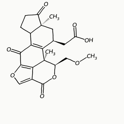 COC[C@H]1OC(=O)c2coc3c2[C@@]1(C)C1=C(C3=O)C2CCC(=O)[C@@]2(C)C[C@H]1CC(=O)O